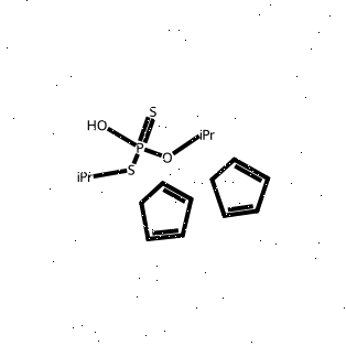 C1=CCC=C1.C1=CCC=C1.CC(C)OP(O)(=S)SC(C)C